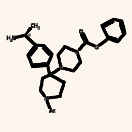 CC(=O)N1CCC(c2ccc([C@H](C)N)cc2)(N2CCN(C(=O)Oc3ccccc3)CC2)CC1